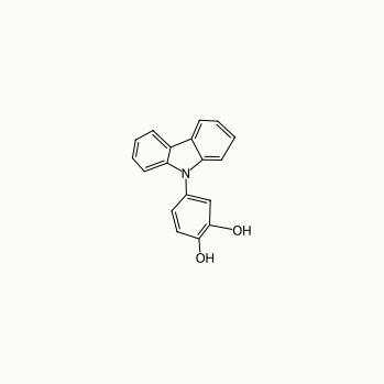 Oc1ccc(-n2c3ccccc3c3ccccc32)cc1O